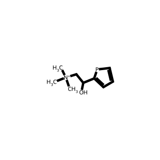 C[N+](C)(C)CC(O)c1ccc[p-]1